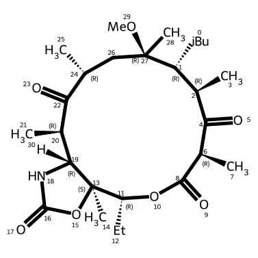 CCC(C)[C@@H]1[C@@H](C)C(=O)[C@@H](C)C(=O)O[C@H](CC)[C@@]2(C)OC(=O)N[C@@H]2[C@@H](C)C(=O)[C@H](C)C[C@@]1(C)OC